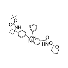 CC(C)(C)OC(=O)NC1(c2ccc(-c3nc4ccc(C(=O)NOC5CCCCO5)cn4c3-c3ccccc3)cc2)CCC1